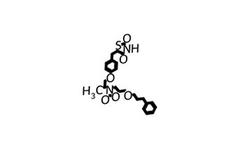 CC(COc1ccc(CC2SC(=O)NC2=O)cc1)N1CC(COCCCc2ccccc2)OC1=O